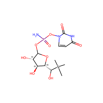 C[Si](C)(C)C(O)[C@H]1OC(OP(N)(=O)On2ccc(=O)[nH]c2=O)[C@@H](O)[C@@H]1O